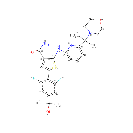 CC(C)(O)c1cc(F)c(-c2cc(C(N)=O)c(Nc3cccc(C(C)(C(=O)O)N4CCOCC4)n3)s2)c(F)c1